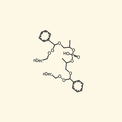 CCCCCCCCCCCOOC(OCC(C)OP(=O)(O)OC(C)COC(OOCCCCCCCCCCC)c1ccccc1)c1ccccc1